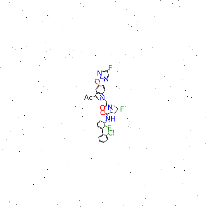 CC(=O)c1cn(CC(=O)N2C[C@H](F)C[C@H]2C(=O)Nc2cccc(-c3ccccc3Cl)c2F)c2ccc(Oc3ncc(F)cn3)cc12